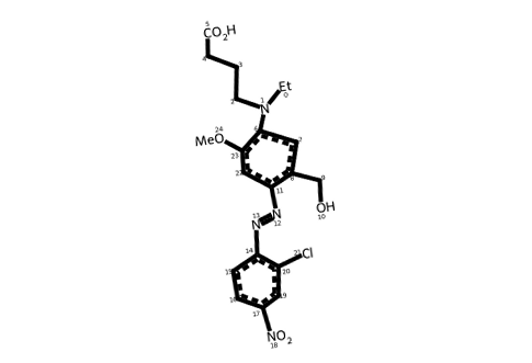 CCN(CCCC(=O)O)c1cc(CO)c(N=Nc2ccc([N+](=O)[O-])cc2Cl)cc1OC